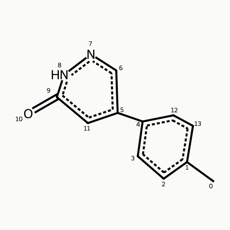 Cc1ccc(-c2cn[nH]c(=O)c2)cc1